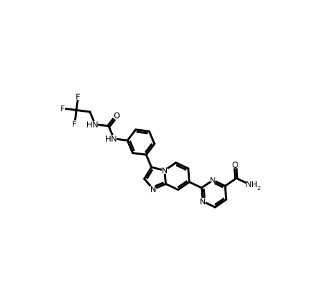 NC(=O)c1ccnc(-c2ccn3c(-c4cccc(NC(=O)NCC(F)(F)F)c4)cnc3c2)n1